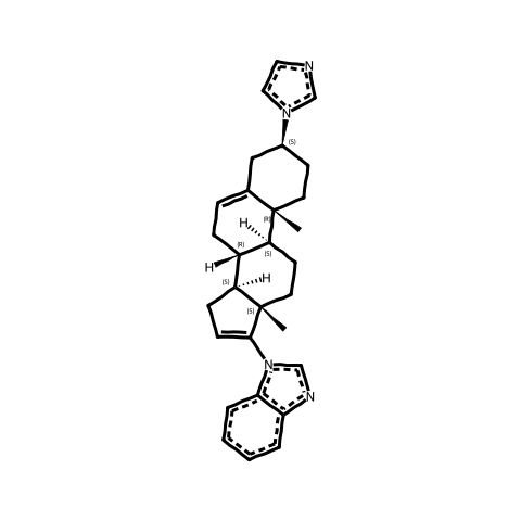 C[C@]12CC[C@H](n3ccnc3)CC1=CC[C@@H]1[C@@H]2CC[C@]2(C)C(n3cnc4ccccc43)=CC[C@@H]12